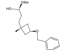 CO[C@H](O)CC[C@]1(C)C[C@@H](OCc2ccccc2)C1